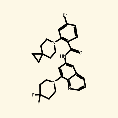 O=C(Nc1cc(N2CCC(F)(F)CC2)c2ncccc2c1)c1ccc(Br)cc1N1CCC2(CC1)CC2